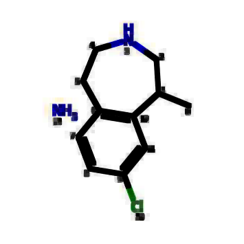 CC1CNCCc2ccc(Cl)cc21.N